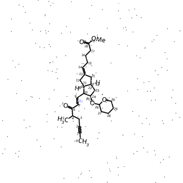 CC#CCC(C)C(=O)/C=C/C1[C@H]2CC(=CCCCC(=O)OC)C[C@H]2C[C@H]1OC1CCCCO1